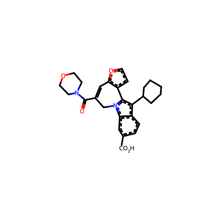 O=C(O)c1ccc2c(C3CCCCC3)c3n(c2c1)CC(C(=O)N1CCOCC1)=Cc1occc1-3